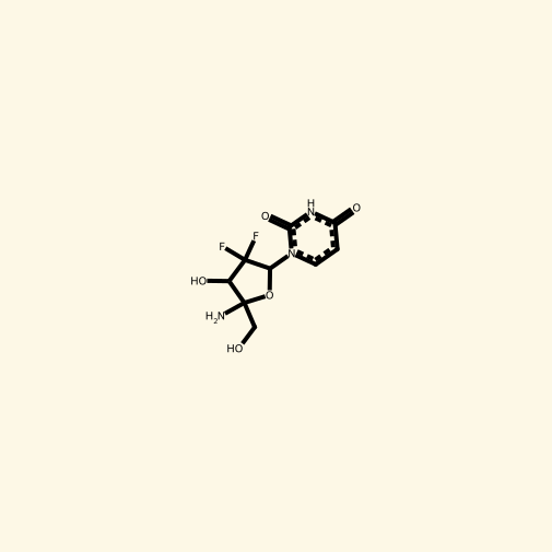 NC1(CO)OC(n2ccc(=O)[nH]c2=O)C(F)(F)C1O